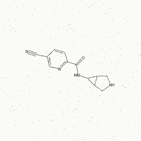 N#Cc1ccc(C(=O)NC2C3CNCC32)nc1